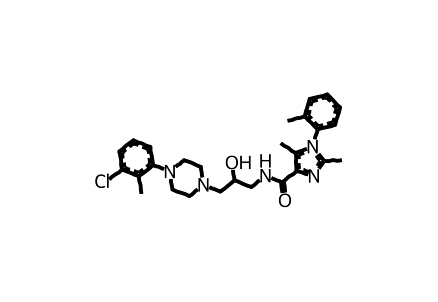 Cc1ccccc1-n1c(C)nc(C(=O)NCC(O)CN2CCN(c3cccc(Cl)c3C)CC2)c1C